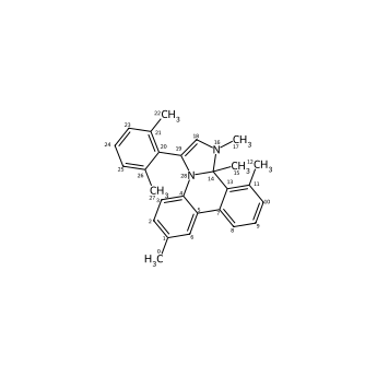 Cc1ccc2c(c1)-c1cccc(C)c1C1(C)N(C)C=C(c3c(C)cccc3C)N21